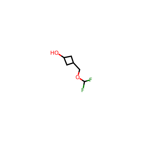 OC1CC(COC(F)F)C1